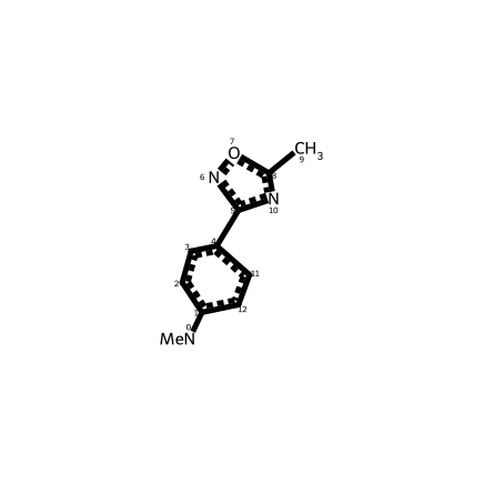 CNc1ccc(-c2noc(C)n2)cc1